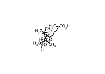 CC(CCC[Si](C)(O[Si](C)(C)C)O[Si](C)(C)O[Si](C)(C)C)C(=O)O